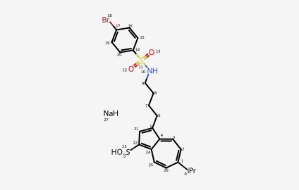 CC(C)c1ccc2c(CCCCNS(=O)(=O)c3ccc(Br)cc3)cc(S(=O)(=O)O)c-2cc1.[NaH]